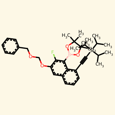 CC(C)[Si](C#Cc1cccc2cc(OCOCc3ccccc3)c(F)c(B3OC(C)(C)C(C)(C)O3)c12)(C(C)C)C(C)C